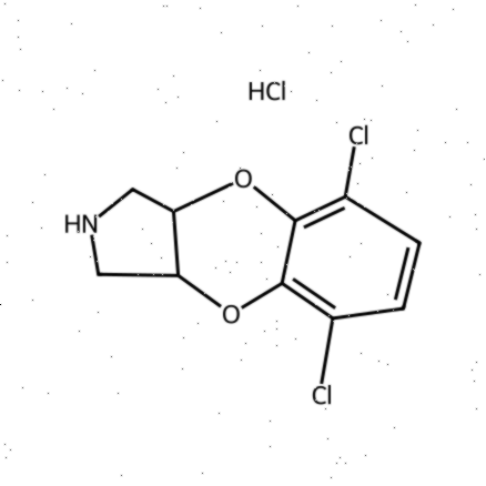 Cl.Clc1ccc(Cl)c2c1OC1CNCC1O2